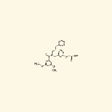 COc1cc(OC)cc(C(=O)N(CCCc2ccccc2)Cc2cccc(OCC(=O)O)c2)c1